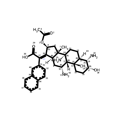 CC(=O)O[C@H]1C[C@@]2(C)[C@@H](C[C@@H](N)[C@H]3[C@@]4(C)CC[C@@H](O)[C@@H](N)[C@@H]4CC[C@@]32N)/C1=C(/C(=O)O)c1ccc2ccccc2c1